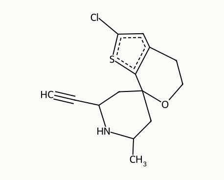 C#CC1CC2(CC(C)N1)OCCc1cc(Cl)sc12